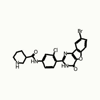 O=C(Nc1ccc(-c2nc3c(oc4ccc(Br)cc43)c(=O)[nH]2)c(Cl)c1)C1CCCNC1